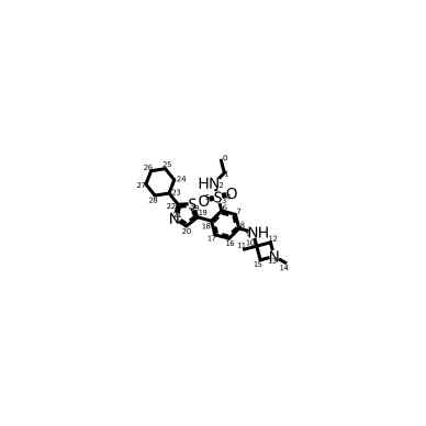 CCNS(=O)(=O)c1cc(NC2(C)CN(C)C2)ccc1-c1cnc(C2CCCCC2)s1